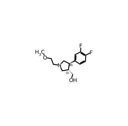 COCCN1C[C@@H](CO)[C@H](c2ccc(F)c(F)c2)C1